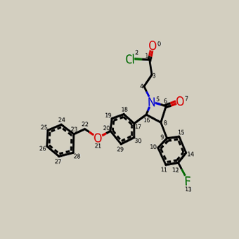 O=C(Cl)CCN1C(=O)C(c2ccc(F)cc2)C1c1ccc(OCc2ccccc2)cc1